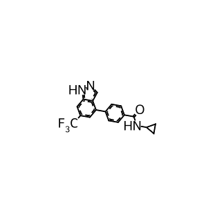 O=C(NC1CC1)c1ccc(-c2cc(C(F)(F)F)cc3[nH]ncc23)cc1